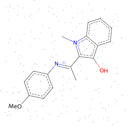 COc1ccc(/N=C(\C)c2c(O)c3ccccc3n2C)cc1